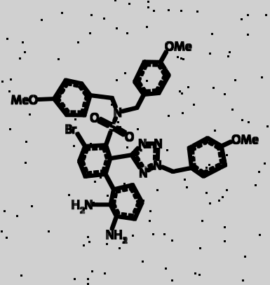 COc1ccc(CN(Cc2ccc(OC)cc2)S(=O)(=O)c2c(Br)ccc(-c3cccc(N)c3N)c2-c2nnn(Cc3ccc(OC)cc3)n2)cc1